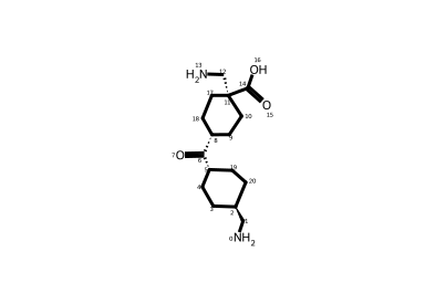 NC[C@H]1CC[C@H](C(=O)[C@H]2CC[C@](CN)(C(=O)O)CC2)CC1